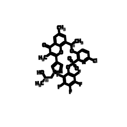 Cc1cc([C@@H](C)Oc2ccc(Cl)nc2S(=O)(=O)Oc2c(F)c(F)c(F)c(F)c2F)c2oc(-c3cnn(C[C@H](C)O)c3)c(C)c(=O)c2c1